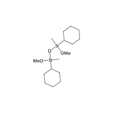 CO[Si](C)(O[Si](C)(OC)C1CCCCC1)C1CCCCC1